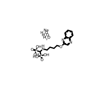 O.O.O.O=P(O)(O)C(NCCCCOc1cnc2ccccc2n1)P(=O)(O)O.[Na]